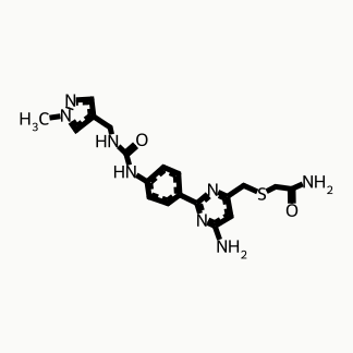 Cn1cc(CNC(=O)Nc2ccc(-c3nc(N)cc(CSCC(N)=O)n3)cc2)cn1